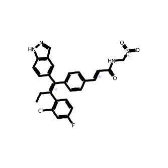 CC/C(=C(/c1ccc(/C=C/C(=O)NC[SH](=O)=O)cc1)c1ccc2[nH]ncc2c1)c1ccc(F)cc1Cl